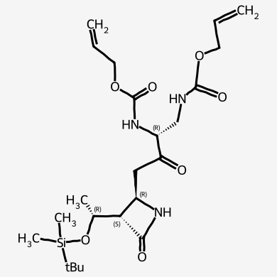 C=CCOC(=O)NC[C@@H](NC(=O)OCC=C)C(=O)C[C@H]1NC(=O)[C@@H]1[C@@H](C)O[Si](C)(C)C(C)(C)C